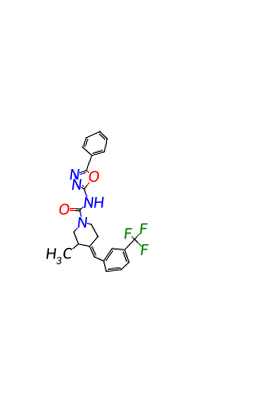 CC1CN(C(=O)Nc2nnc(-c3ccccc3)o2)CC/C1=C\c1cccc(C(F)(F)F)c1